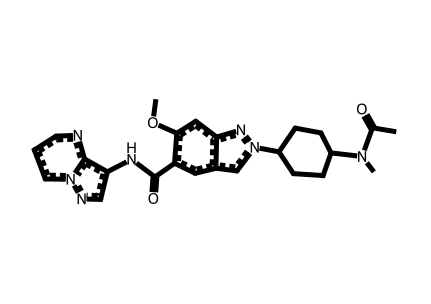 COc1cc2nn(C3CCC(N(C)C(C)=O)CC3)cc2cc1C(=O)Nc1cnn2cccnc12